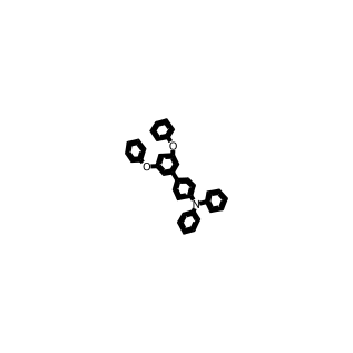 c1ccc(Oc2cc(Oc3ccccc3)cc(-c3ccc(N(c4ccccc4)c4ccccc4)cc3)c2)cc1